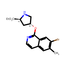 CCOC(=O)[C@@H]1C[C@@H](Oc2nccc3cc(C)c(Br)cc23)CN1